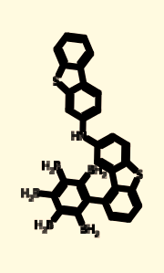 Bc1c(B)c(B)c(-c2cccc3sc4ccc(Nc5ccc6c(c5)sc5ccccc56)cc4c23)c(B)c1B